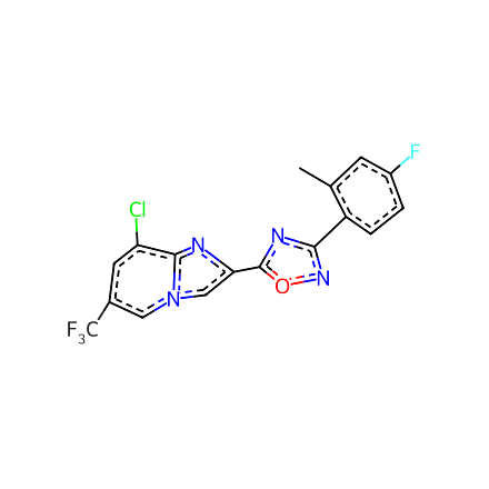 Cc1cc(F)ccc1-c1noc(-c2cn3cc(C(F)(F)F)cc(Cl)c3n2)n1